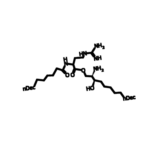 CCCCCCCCCCCCCCCC(=O)NC(CCNC(=N)N)C(=O)OC[C@H](N)[C@H](O)CCCCCCCCCCCCCCC